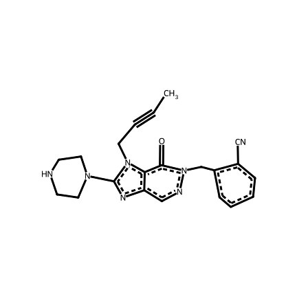 CC#CCn1c(N2CCNCC2)nc2cnn(Cc3ccccc3C#N)c(=O)c21